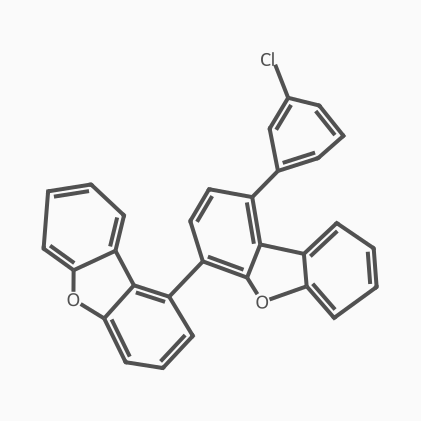 Clc1cccc(-c2ccc(-c3cccc4oc5ccccc5c34)c3oc4ccccc4c23)c1